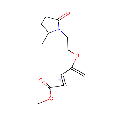 C=C(/C=C/C(=O)OC)OCCN1C(=O)CCC1C